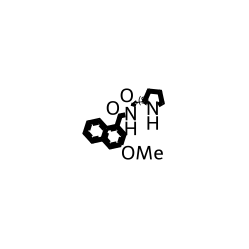 COc1cc(C(=O)NC(=O)[C@@H]2CCCN2)c2ccccc2c1